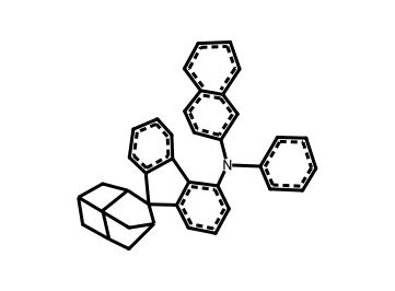 c1ccc(N(c2ccc3ccccc3c2)c2cccc3c2-c2ccccc2C32C3CC4CC(C3)CC2C4)cc1